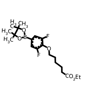 CCOC(=O)CCCCCOc1c(F)cc(B2OC(C)(C)C(C)(C)O2)cc1F